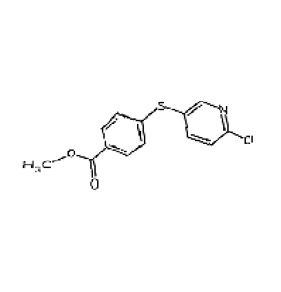 COC(=O)c1ccc(Sc2ccc(Cl)nc2)cc1